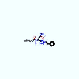 CCCCCCCC(=O)N[C@H](CC(N)=O)c1nnn(CCc2ccccc2)n1